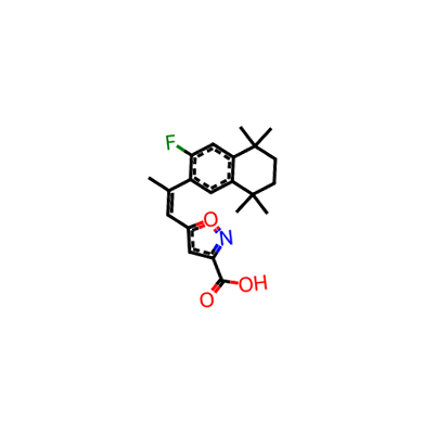 C/C(=C/c1cc(C(=O)O)no1)c1cc2c(cc1F)C(C)(C)CCC2(C)C